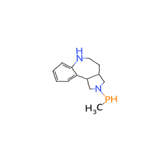 CPN1CC2CCNc3ccccc3C2C1